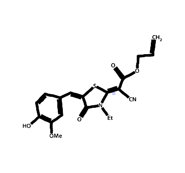 C=CCOC(=O)/C(C#N)=c1\sc(=Cc2ccc(O)c(OC)c2)c(=O)n1CC